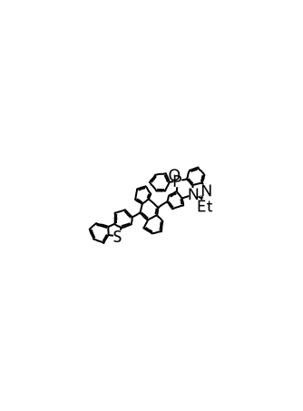 CCc1nc2cccc3c2n1-c1ccc(-c2c4ccccc4c(-c4ccc5c(c4)sc4ccccc45)c4ccccc24)cc1P3(=O)c1ccccc1